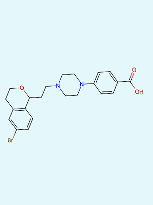 O=C(O)c1ccc(N2CCN(CCC3OCCc4cc(Br)ccc43)CC2)cc1